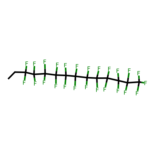 CCC(F)(F)C(F)(F)C(F)(F)C(F)(F)C(F)(F)C(F)(F)C(F)(F)C(F)(F)C(F)(F)C(F)(F)C(F)(F)C(F)(F)F